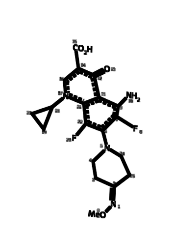 CON=C1CCN(c2c(F)c(N)c3c(=O)c(C(=O)O)cn(C4CC4)c3c2F)CC1